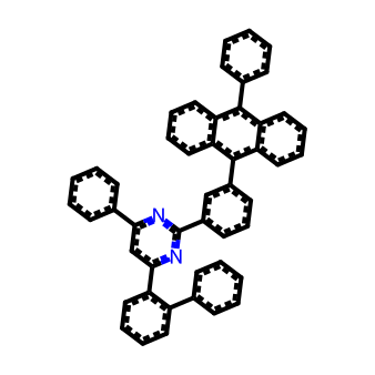 c1ccc(-c2cc(-c3ccccc3-c3ccccc3)nc(-c3cccc(-c4c5ccccc5c(-c5ccccc5)c5ccccc45)c3)n2)cc1